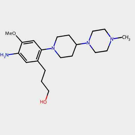 COc1cc(N2CCC(N3CCN(C)CC3)CC2)c(CCCO)cc1N